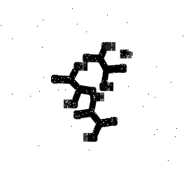 O=C(O)C(=O)O.O=C(O)C(=O)O.O=C(O)C(=O)O.[Rh]